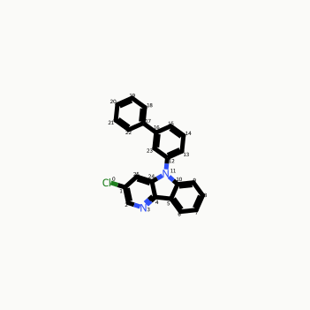 Clc1cnc2c3ccccc3n(-c3cccc(-c4ccccc4)c3)c2c1